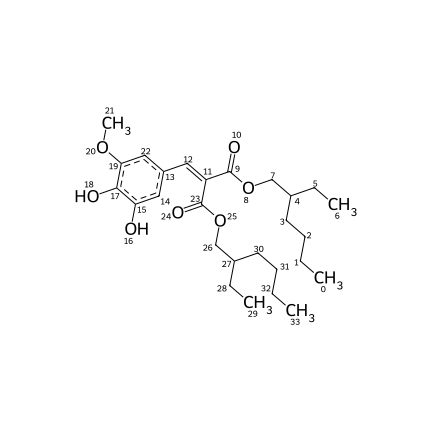 CCCCC(CC)COC(=O)C(=Cc1cc(O)c(O)c(OC)c1)C(=O)OCC(CC)CCCC